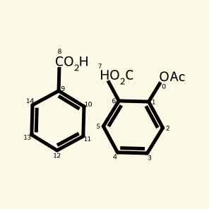 CC(=O)Oc1ccccc1C(=O)O.O=C(O)c1ccccc1